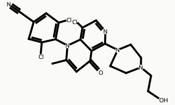 Cc1cc(=O)c2c(N3CCN(CCO)CC3)ncc(Cl)c2n1-c1c(Cl)cc(C#N)cc1Cl